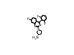 N[C@H]1CCN(c2nc(-c3c(F)cccc3F)c3ccc(F)cc3n2)C1